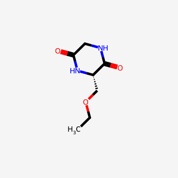 CCOC[C@@H]1NC(=O)CNC1=O